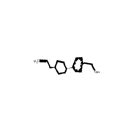 C=CC[C@H]1CC[C@H](c2ccc(CO)cc2)CC1